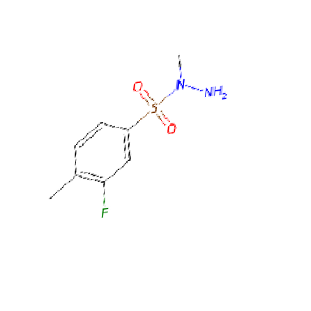 Cc1ccc(S(=O)(=O)N(C)N)cc1F